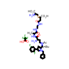 CC(=O)N(CC[C@H](N)C(=O)NC(C)C(=O)NCCNC(=O)CC(SC[C@H](N)C(=O)O)C(=O)O)[C@@H](c1cc(-c2cc(F)ccc2F)cn1Cc1ccccc1)C(C)(C)C.O=C(O)C(F)(F)F